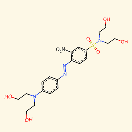 O=[N+]([O-])c1cc(S(=O)(=O)N(CCO)CCO)ccc1N=Nc1ccc(N(CCO)CCO)cc1